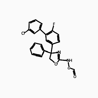 O=CONC1=NC(c2ccccc2)(c2ccc(F)c(-c3cccc(Cl)c3)c2)CO1